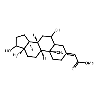 COC(=O)/C=C1\CC[C@@]2(C)C(C1)C(O)C[C@@H]1[C@H]2CC[C@]2(C)C(O)CC[C@@H]12